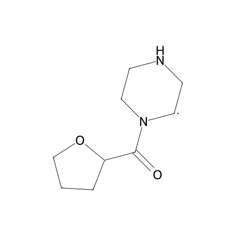 O=C(C1CCCO1)N1[CH]CNCC1